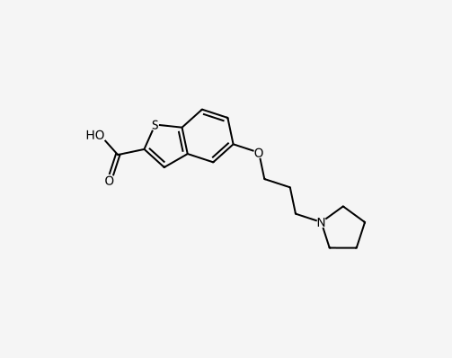 O=C(O)c1cc2cc(OCCCN3CCCC3)ccc2s1